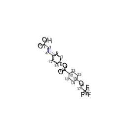 O=C(O)/C=C/c1ccc(OC(=O)C2CCC(OCC(F)(F)F)CC2)cc1